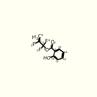 C=C(F)C(F)(F)OC(=O)c1ccccc1O